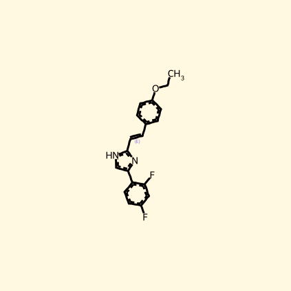 CCOc1ccc(/C=C/c2nc(-c3ccc(F)cc3F)c[nH]2)cc1